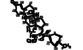 Cc1ccc(S(=O)(=O)C(NC=O)=C2CC[C@H]3[C@@H]4CCC5=CC(=O)CC[C@]5(C)[C@H]4CC[C@]23C)cc1